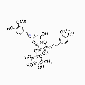 COc1cc(/C=C/C(=O)O[C@H]2[C@H](O[C@@H]3O[C@@H](C)[C@H](O)[C@@H](O)[C@H]3O)[C@@H](O)[C@H](OCCc3ccc(O)c(OC)c3)O[C@@H]2CO)ccc1O